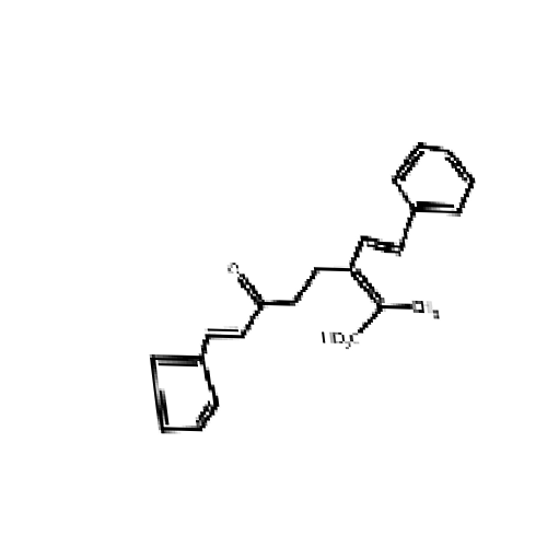 CC(C(=O)O)=C(C=Cc1ccccc1)CCC(=O)/C=C/c1ccccc1